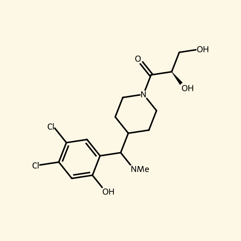 CNC(c1cc(Cl)c(Cl)cc1O)C1CCN(C(=O)[C@H](O)CO)CC1